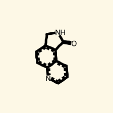 O=C1NCc2ccc3ncccc3c21